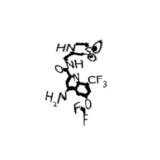 Nc1cc(C(=O)NCC2CS(=O)(=O)CCN2)nc2c(C(F)(F)F)cc(OC(F)F)cc12